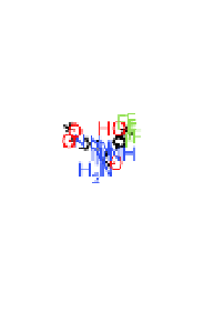 CN(c1nnc(C(N)=O)c(Nc2ccc(C(O)(C(F)(F)F)C(F)(F)F)cc2)n1)[C@@H]1CCN(C(=O)OC(C)(C)C)C1